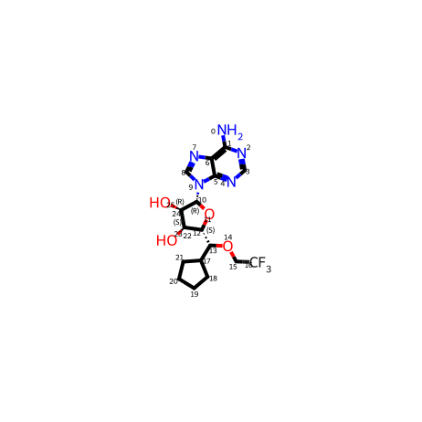 Nc1ncnc2c1ncn2[C@@H]1O[C@H](C(OCC(F)(F)F)C2CCCC2)[C@@H](O)[C@H]1O